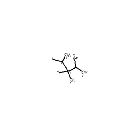 CC(=O)C(O)C(C)(O)C(C)O